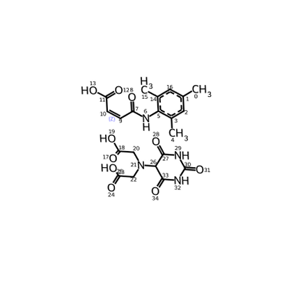 Cc1cc(C)c(NC(=O)/C=C\C(=O)O)c(C)c1.O=C(O)CN(CC(=O)O)C1C(=O)NC(=O)NC1=O